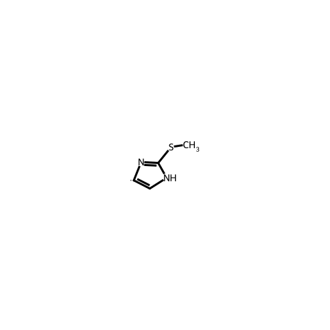 CSc1n[c]c[nH]1